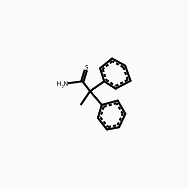 CC(C(N)=S)(c1ccccc1)c1ccccc1